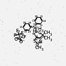 C[n+]1nc(C(C)(C)C)c(CS[SiH](c2ccccc2)c2ccccc2)s1.O=S(=O)([O-])C(F)(F)F